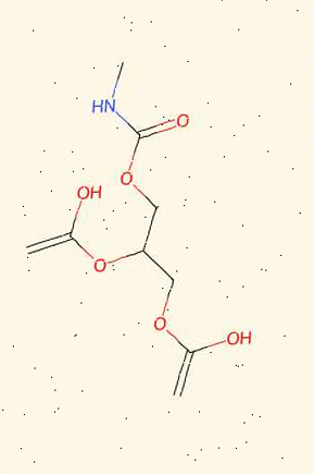 C=C(O)OCC(COC(=O)NC)OC(=C)O